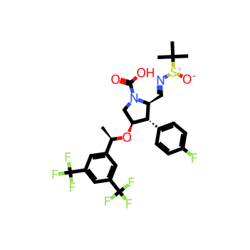 C[C@@H](O[C@H]1CN(C(=O)O)[C@@H](C=N[S+]([O-])C(C)(C)C)[C@@H]1c1ccc(F)cc1)c1cc(C(F)(F)F)cc(C(F)(F)F)c1